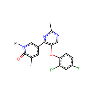 Cc1ncc(Oc2ccc(F)cc2F)c(-c2cc(C)c(=O)n(C(C)C)c2)n1